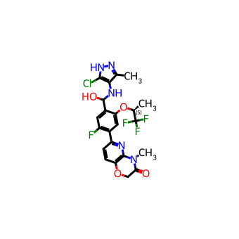 Cc1n[nH]c(Cl)c1NC(O)c1cc(F)c(-c2ccc3c(n2)N(C)C(=O)CO3)cc1O[C@@H](C)C(F)(F)F